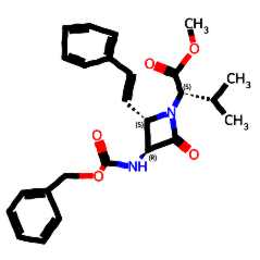 COC(=O)[C@H](C(C)C)N1C(=O)[C@H](NC(=O)OCc2ccccc2)[C@@H]1C=Cc1ccccc1